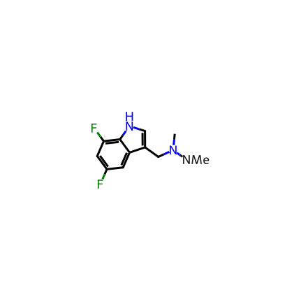 CNN(C)Cc1c[nH]c2c(F)cc(F)cc12